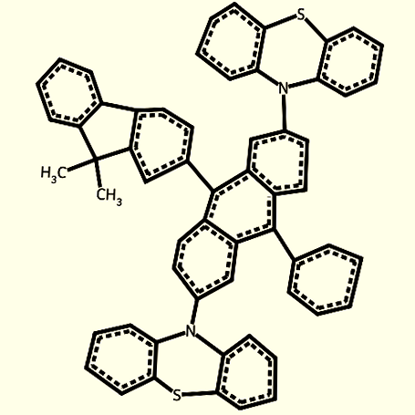 CC1(C)c2ccccc2-c2ccc(-c3c4ccc(N5c6ccccc6Sc6ccccc65)cc4c(-c4ccccc4)c4ccc(N5c6ccccc6Sc6ccccc65)cc34)cc21